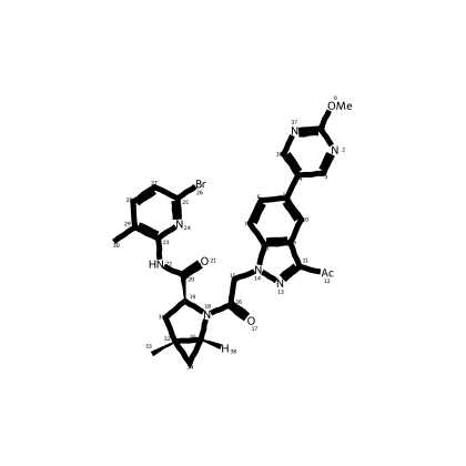 COc1ncc(-c2ccc3c(c2)c(C(C)=O)nn3CC(=O)N2[C@H](C(=O)Nc3nc(Br)ccc3C)C[C@@]3(C)C[C@@H]23)cn1